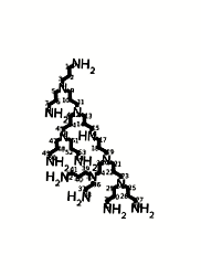 NCCCN(CCCN)CCCN(CCCNCCCN(CCCN(CCCN)CCCN)CCN(CCN)CCCN)CCCN(CCCN)CCCN